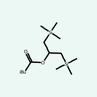 CCC(C)C(=O)OC(C[Si](C)(C)C)C[Si](C)(C)C